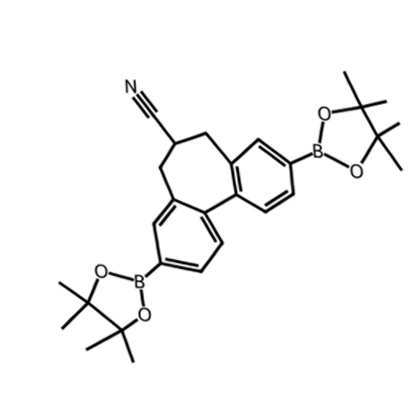 CC1(C)OB(c2ccc3c(c2)CC(C#N)Cc2cc(B4OC(C)(C)C(C)(C)O4)ccc2-3)OC1(C)C